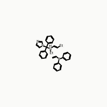 C=CB(c1ccccc1)c1ccccc1.CCC=C[SiH](CC)C(c1ccccc1)(c1ccccc1)n1ccnc1